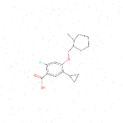 CC1CCCCC1COc1cc(F)c(C(=O)O)cc1C1CC1